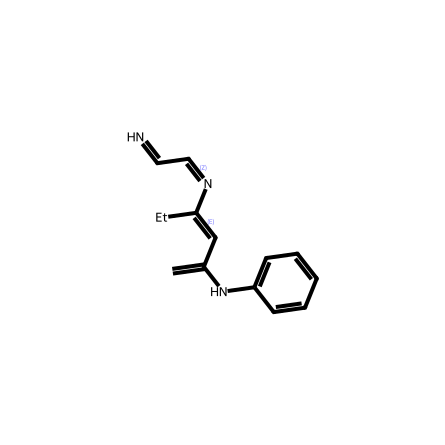 C=C(/C=C(CC)/N=C\C=N)Nc1ccccc1